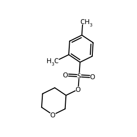 Cc1ccc(S(=O)(=O)OC2CCCOC2)c(C)c1